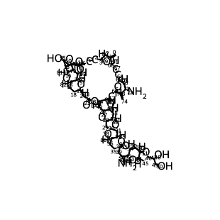 C=C1C[C@@H]2CC[C@]34CC5(O)O[C@]6(O3)C5[C@@H]3O[C@H]5CC[C@H](CC(=O)O[C@@H]7CC8OC9C[C@]%10(C[C@@H]%11O[C@@]%12(CC[C@@H]%11O%10)C[C@H](N)[C@@H]%10O[C@@H]%11C[C@@H]([C@@H](O)CO)O[C@@H]%11C[C@@H]%10O%12)O[C@@H]9C[C@@H]8O[C@H]7C[C@H]7O[C@@H](CC[C@@H]1O2)C[C@@H](N)C7=C)O[C@@H]5[C@H](O4)[C@@H]36